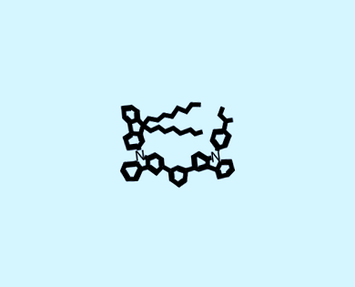 CCCCCCCCC1(CCCCCCCC)c2ccccc2-c2ccc(-n3c4ccccc4c4cc(-c5cccc(-c6ccc7c(c6)c6ccccc6n7-c6ccc(C(C)CC)cc6)c5)ccc43)cc21